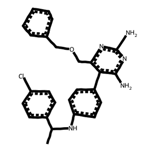 CC(Nc1ccc(-c2c(N)nc(N)nc2COCc2ccccc2)cc1)c1ccc(Cl)cc1